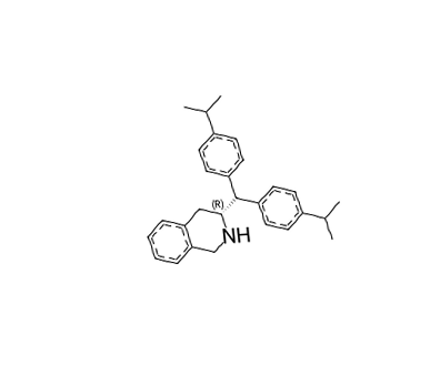 CC(C)c1ccc(C(c2ccc(C(C)C)cc2)[C@H]2Cc3ccccc3CN2)cc1